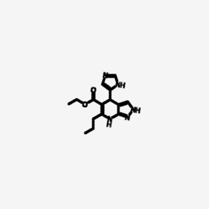 CCCC1=C(C(=O)OCC)C(c2cnc[nH]2)c2c[nH]nc2N1